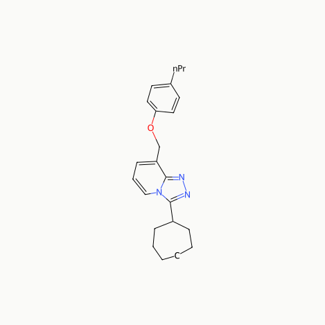 CCCc1ccc(OCc2cccn3c(C4CCCCCC4)nnc23)cc1